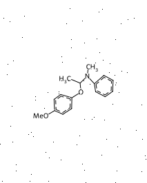 COc1ccc(OC(C)N(C)c2ccccc2)cc1